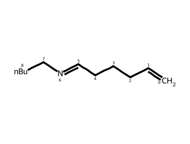 C=CCCCC=NCCCCC